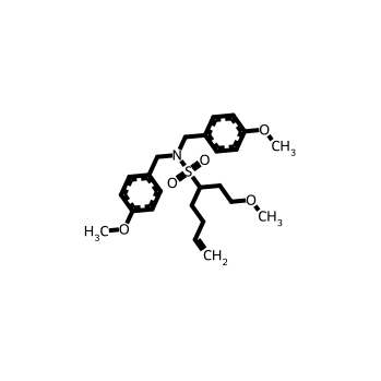 C=CCCC(CCOC)S(=O)(=O)N(Cc1ccc(OC)cc1)Cc1ccc(OC)cc1